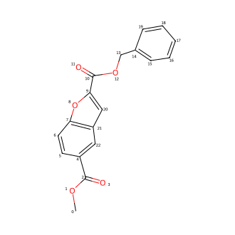 COC(=O)c1ccc2oc(C(=O)OCc3ccccc3)cc2c1